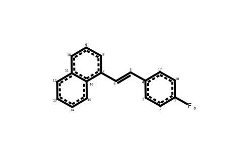 Fc1ccc(C=Cc2cccc3ccccc23)cc1